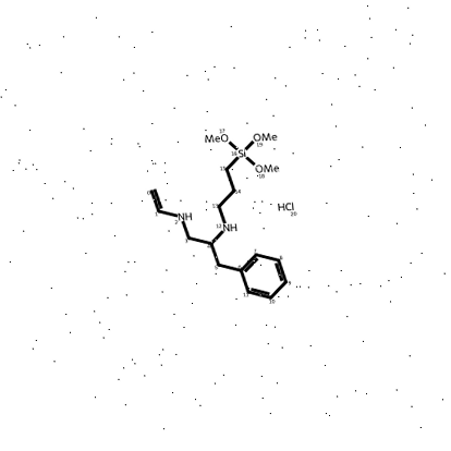 C=CNCC(Cc1ccccc1)NCCC[Si](OC)(OC)OC.Cl